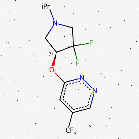 CC(C)N1C[C@H](Oc2cc(C(F)(F)F)cnn2)C(F)(F)C1